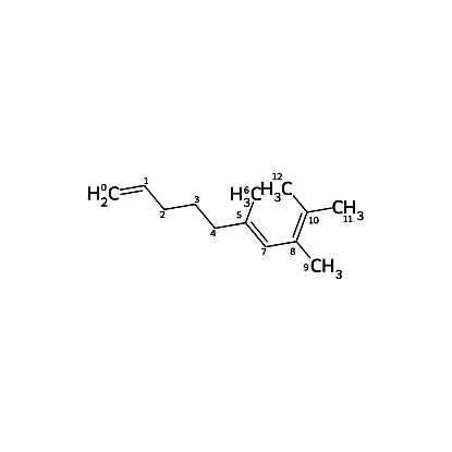 C=CCCC/C(C)=C/C(C)=C(C)C